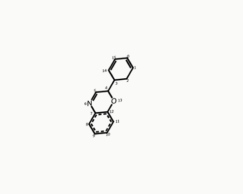 C1=CCC(C2C=Nc3ccccc3O2)C=C1